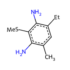 CCc1cc(C)c(N)c(SC)c1N